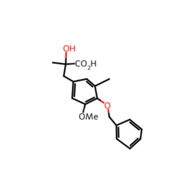 COc1cc(CC(C)(O)C(=O)O)cc(C)c1OCc1ccccc1